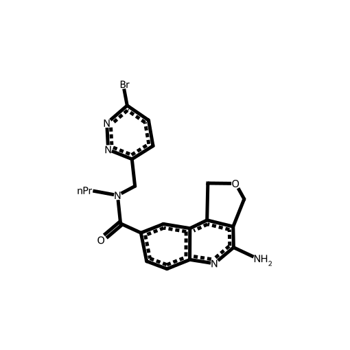 CCCN(Cc1ccc(Br)nn1)C(=O)c1ccc2nc(N)c3c(c2c1)COC3